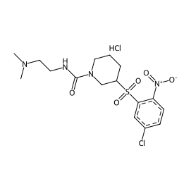 CN(C)CCNC(=O)N1CCCC(S(=O)(=O)c2cc(Cl)ccc2[N+](=O)[O-])C1.Cl